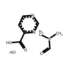 CN(C)C=O.Cl.O=C(O)c1ccncn1